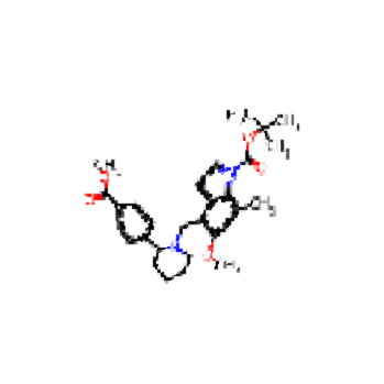 COC(=O)c1ccc(C2CCCCN2Cc2c(OC)cc(C)c3c2ccn3C(=O)OC(C)(C)C)cc1